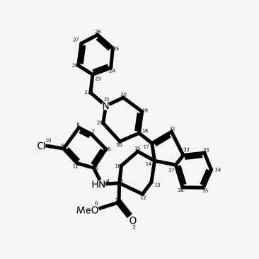 COC(=O)C1(Nc2cccc(Cl)c2)CCC2(CC1)C(C1=CCN(Cc3ccccc3)CC1)=Cc1ccccc12